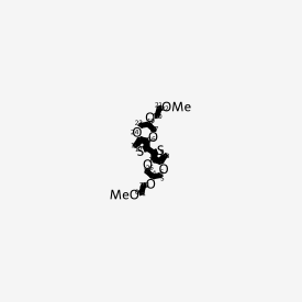 COCCOC1COc2csc(-c3scc4c3OCC(OCCOC)CO4)c2OC1